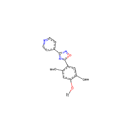 CCOc1cc(OC)c(-c2nc(-c3ccncc3)no2)cc1OC